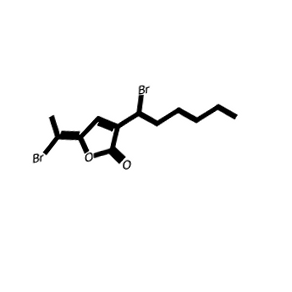 CCCCCC(Br)C1=C/C(=C(\C)Br)OC1=O